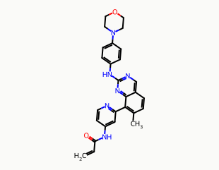 C=CC(=O)Nc1ccnc(-c2c(C)ccc3cnc(Nc4ccc(N5CCOCC5)cc4)nc23)c1